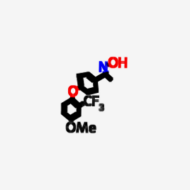 COc1ccc(Oc2ccc(C(C)=NO)cc2)c(C(F)(F)F)c1